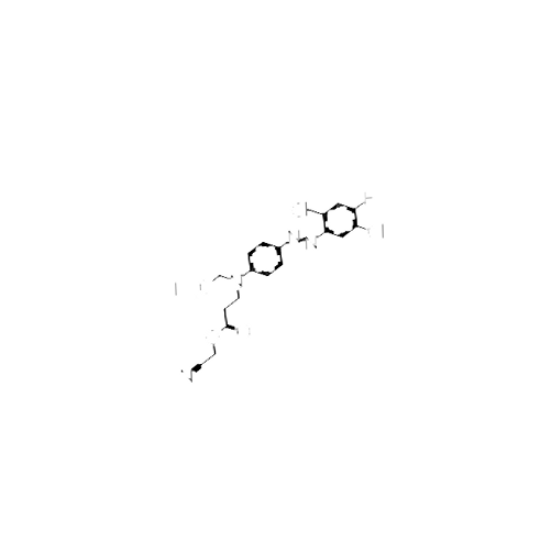 CCN(CCC(=O)OCC#N)c1ccc(N=Nc2cc(Cl)c(F)cc2Cl)cc1